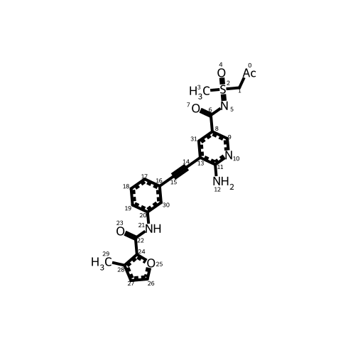 CC(=O)CS(C)(=O)=NC(=O)c1cnc(N)c(C#Cc2cccc(NC(=O)c3occc3C)c2)c1